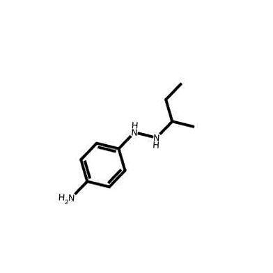 CCC(C)NNc1ccc(N)cc1